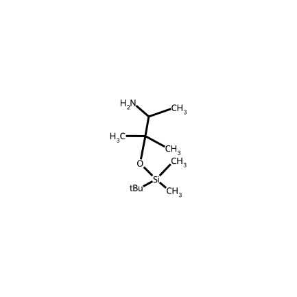 CC(N)C(C)(C)O[Si](C)(C)C(C)(C)C